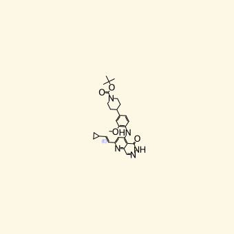 COc1cc(C2CCN(C(=O)OC(C)(C)C)CC2)ccc1Nc1cc(/C=C/C2CC2)nc2cn[nH]c(=O)c12